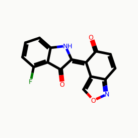 O=C1C=Cc2nocc2C1=C1Nc2cccc(F)c2C1=O